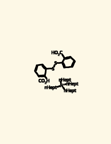 CCCCCCC[N+](CCCCCCC)(CCCCCCC)CCCCCCC.O=C(O)c1ccccc1SSc1ccccc1C(=O)O